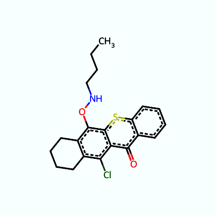 CCCCNOc1c2c(c(Cl)c3c(=O)c4ccccc4sc13)CCCC2